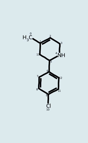 CC1=CCNC(c2ccc(Cl)cc2)C1